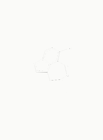 C[C@@H]1N[C@H](C(=O)O)Cc2c[nH]c3ccc(O)c1c23